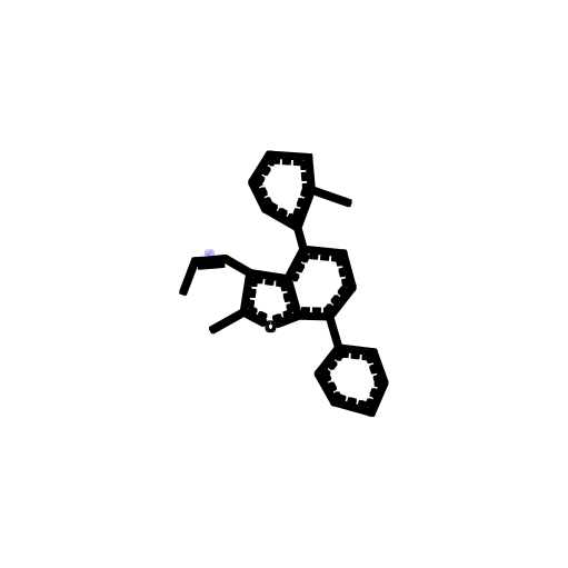 C/C=C\c1c(C)oc2c(-c3ccccc3)ccc(-c3ccccc3C)c12